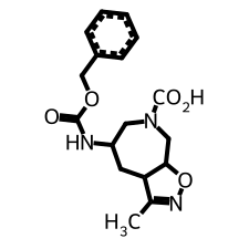 CC1=NOC2CN(C(=O)O)CC(NC(=O)OCc3ccccc3)CC12